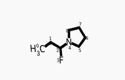 C[CH]C(F)N1CCCC1